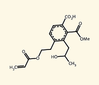 C=CC(=O)OCCc1ccc(C(=O)O)c(C(=O)OC)c1CC(C)O